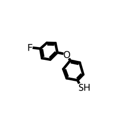 Fc1ccc(Oc2ccc(S)cc2)cc1